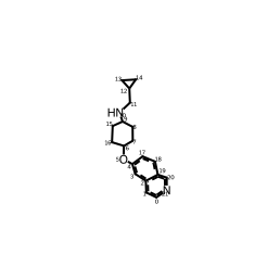 c1cc2cc(OC3CCC(NCC4CC4)CC3)ccc2cn1